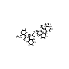 CC(=O)Oc1ccccc1C(=S)N(NC(=O)CC(=O)NN(C(=S)c1ccccc1OC(C)=O)c1ccccc1)c1ccccc1